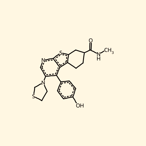 CNC(=O)C1CCc2c(sc3ncc(N4CCSC4)c(-c4ccc(O)cc4)c23)C1